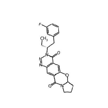 CC[C@H](Cc1cccc(F)c1)n1nnc2cc3c(cc2c1=O)OC1CCCN1C3=O